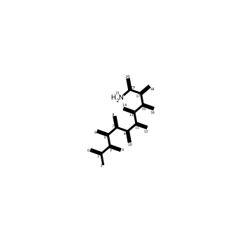 C=C(C)C(=C)C(=C)C(=C)C(=C)C(=C)C(=C)C(=C)C(=C)C(=C)N